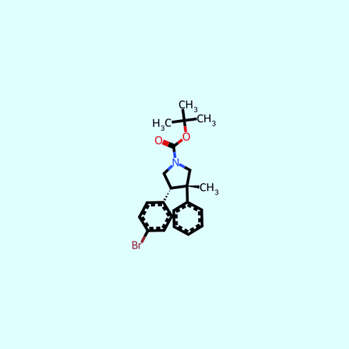 CC(C)(C)OC(=O)N1C[C@@H](c2ccc(Br)cc2)[C@@](C)(c2ccccc2)C1